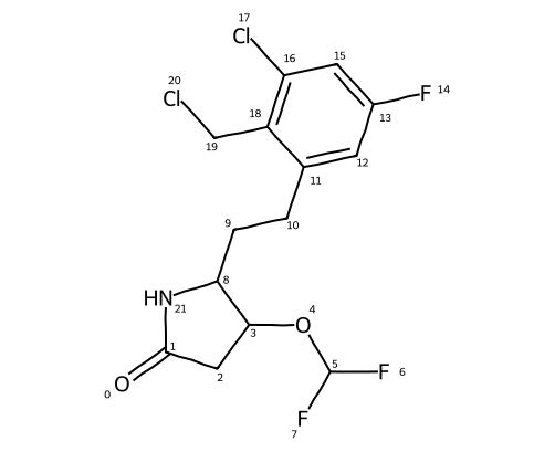 O=C1CC(OC(F)F)C(CCc2cc(F)cc(Cl)c2CCl)N1